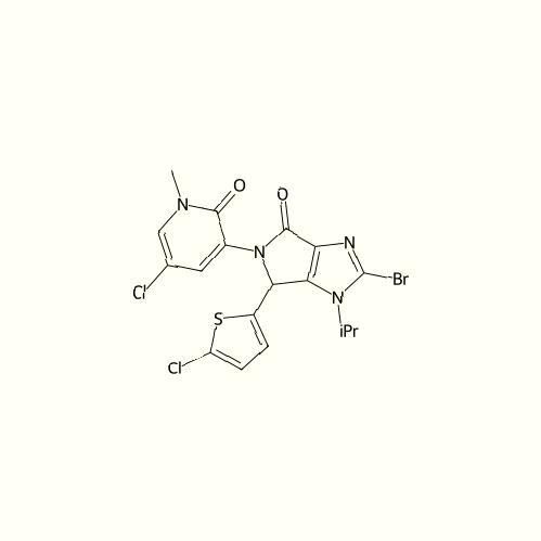 CC(C)n1c(Br)nc2c1C(c1ccc(Cl)s1)N(c1cc(Cl)cn(C)c1=O)C2=O